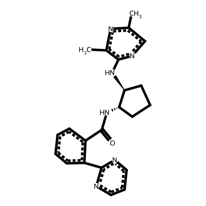 Cc1cnc(N[C@H]2CCC[C@@H]2NC(=O)c2ccccc2-c2ncccn2)c(C)n1